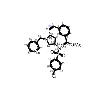 COC(=O)c1cccc(/C=C\[C@@H]2C[C@@H](NS(=O)(=O)c3ccc(Cl)cc3)CN2Cc2cccnc2)c1